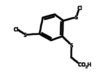 O=C(O)CSc1cc(SCl)ccc1SCl